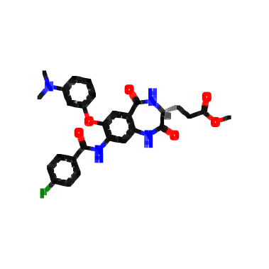 COC(=O)CC[C@H]1NC(=O)c2cc(Oc3cccc(N(C)C)c3)c(NC(=O)c3ccc(F)cc3)cc2NC1=O